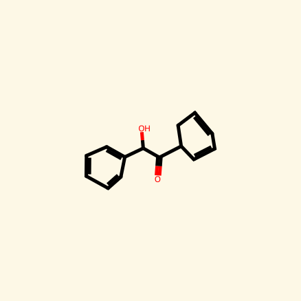 O=C(C1C=CC=CC1)C(O)c1ccccc1